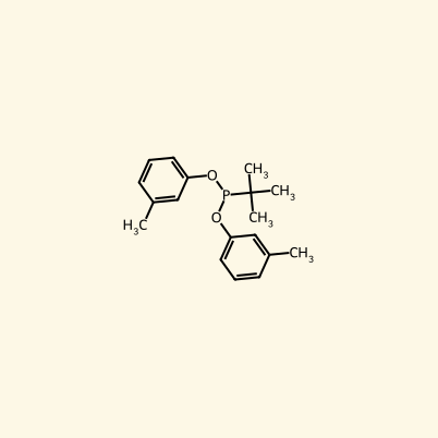 Cc1cccc(OP(Oc2cccc(C)c2)C(C)(C)C)c1